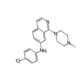 CN1CCN(c2nccc3ccc(Nc4ccc(Cl)cc4)cc23)CC1